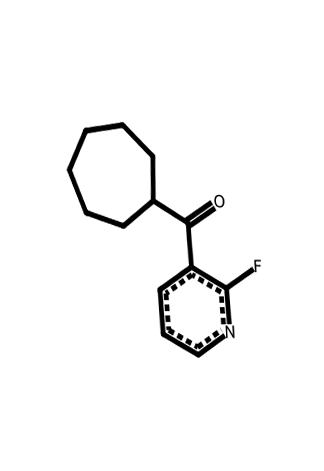 O=C(c1cccnc1F)C1CCCCCC1